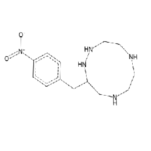 O=[N+]([O-])c1ccc(CC2CNCCNCCNN2)cc1